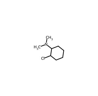 CN(C)C1CCCCC1Cl